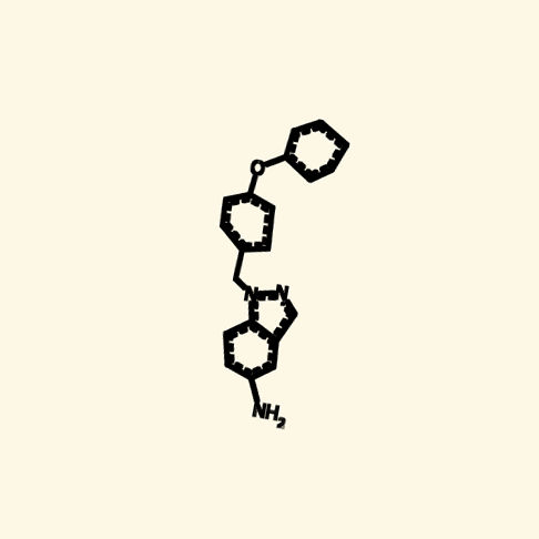 Nc1ccc2c(cnn2Cc2ccc(Oc3ccccc3)cc2)c1